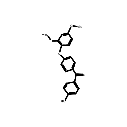 COSc1cc(OC(C)(C)C)ccc1Oc1ccc(C(=O)c2ccc(C(C)(C)C)cc2)cc1